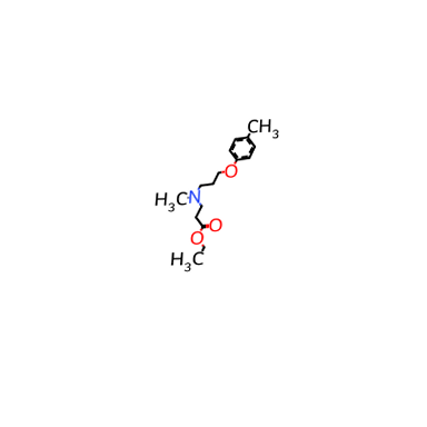 CCOC(=O)CCN(C)CCCOc1ccc(C)cc1